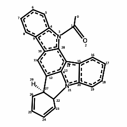 CC(=O)n1c2ccccc2c2cc3c4c(c5ccccc5n4C4C=CC=C[C@@H]34)c21